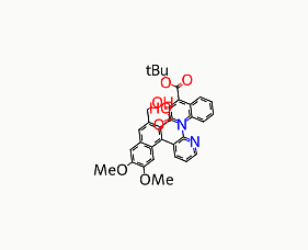 COc1cc2cc(CO)c(CO)c(-c3cccnc3-n3c(=O)cc(C(=O)OC(C)(C)C)c4ccccc43)c2cc1OC